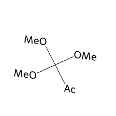 COC(OC)(OC)C(C)=O